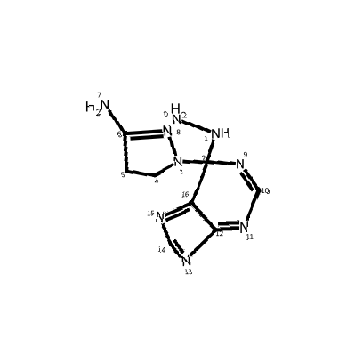 NNC1(N2CCC(N)=N2)N=CN=C2N=CN=C21